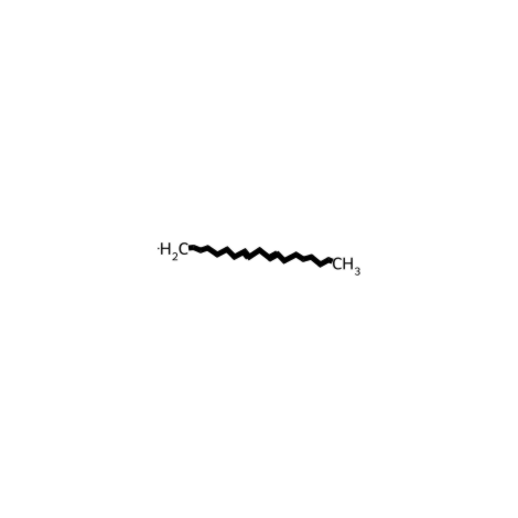 [CH2]CCCCCC/C=C/C/C=C/CCCCCCC